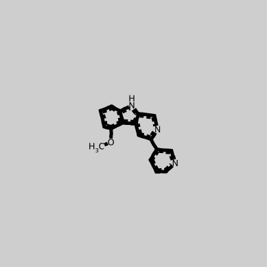 COc1cccc2[nH]c3cnc(-c4cccnc4)cc3c12